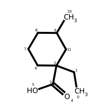 CCC1(C(=O)O)CCCC(C)C1